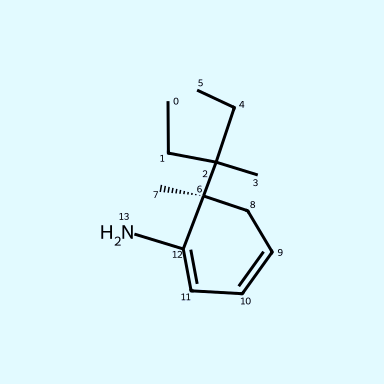 CCC(C)(CC)[C@@]1(C)CC=CC=C1N